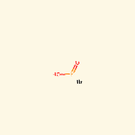 O=PO.[Tb]